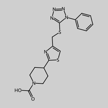 O=C(O)N1CCC(c2nc(CSc3nnnn3-c3ccccc3)cs2)CC1